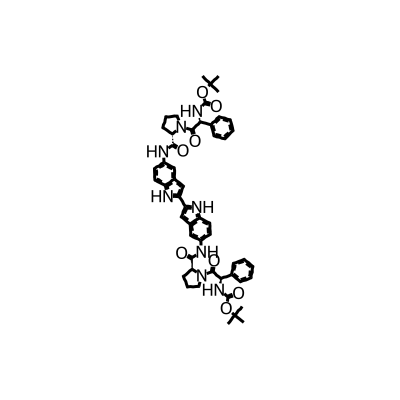 CC(C)(C)OC(=O)N[C@@H](C(=O)N1CCC[C@H]1C(=O)Nc1ccc2[nH]c(-c3cc4cc(NC(=O)[C@@H]5CCCN5C(=O)[C@H](NC(=O)OC(C)(C)C)c5ccccc5)ccc4[nH]3)cc2c1)c1ccccc1